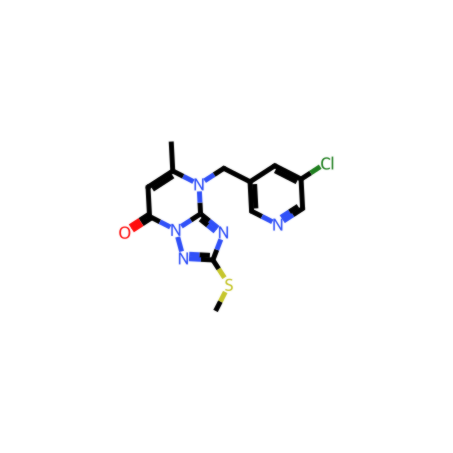 CSc1nc2n(Cc3cncc(Cl)c3)c(C)cc(=O)n2n1